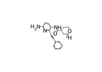 [2H]C1CC(C(=O)Nc2ccc(N)nc2C#Cc2ccccc2)CCO1